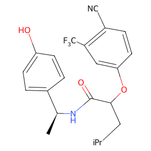 CC(C)CC(Oc1ccc(C#N)c(C(F)(F)F)c1)C(=O)N[C@@H](C)c1ccc(O)cc1